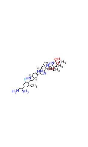 COC(O)N[C@@H](C(C)C)[C@@H](O)N1CCC[C@]1(C)C(C)C1=NCC(C2=CC[C@@H]3NC(C4C(F)=C[C@@H]([C@H](N)CN)CC4C)C[C@@H]3C2)N1